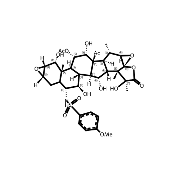 COc1ccc(S(=O)(=O)N[C@@H]2C3C[C@@H]4O[C@@H]4[C@H](O)[C@]3(C)[C@H]3[C@H](OC(C)=O)[C@H](O)[C@@]4(C(C)=O)[C@@H]([C@@H](O)[C@@H]5[C@@H]4[C@H](C)[C@H]4O[C@]46OC(=O)[C@@](C)(O)[C@]56C)[C@@H]3[C@H]2O)cc1